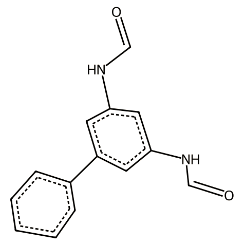 O=CNc1cc(NC=O)cc(-c2ccccc2)c1